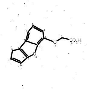 O=C(O)COc1cccc2c3c(oc12)C=CC3